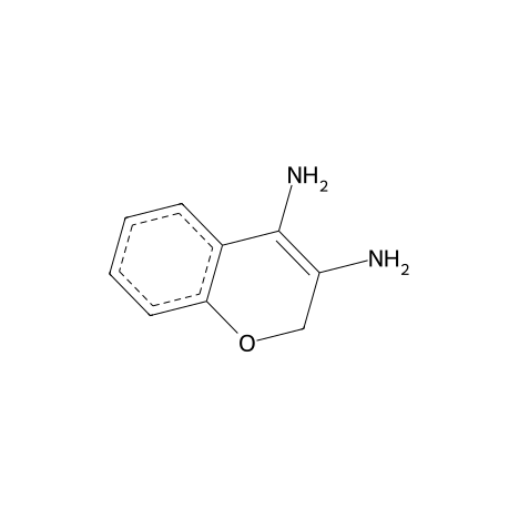 NC1=C(N)c2ccccc2OC1